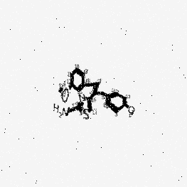 COc1ccc(C(Cc2cccc(OC)c2)c2csc(N)n2)cc1